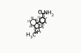 CN1CC23Cc4ccc(C(N)=O)cc4C4(CCCCC4C12)C3